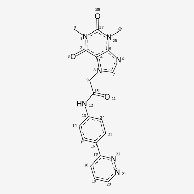 Cn1c(=O)c2c(ncn2CC(=O)Nc2ccc(-c3cccnn3)cc2)n(C)c1=O